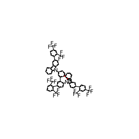 N#Cc1ccc(-n2c3ccccc3c3cc(-c4ccc(C(F)(F)F)cc4C(F)(F)F)ccc32)cc1-c1cc(-c2c(C(F)(F)F)cccc2C(F)(F)F)ccc1-n1c2ccccc2c2cc(-c3ccc(C(F)(F)F)cc3C(F)(F)F)ccc21